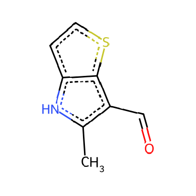 Cc1[nH]c2ccsc2c1C=O